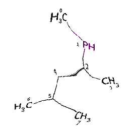 CPC(C)CC(C)C